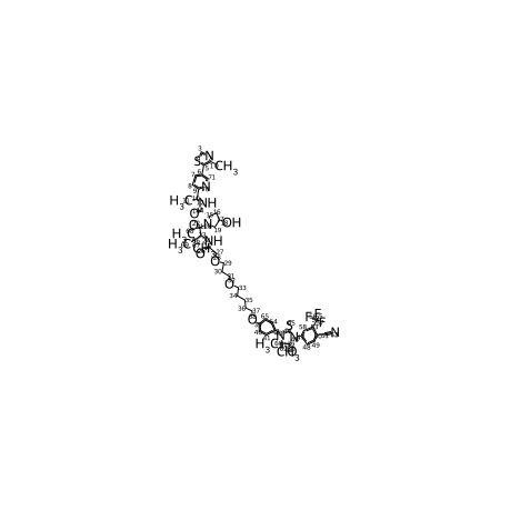 Cc1ncsc1-c1ccc([C@H](C)NC(=O)[C@@H]2C[C@@H](O)CN2C(=O)C(NC(=O)COCCCOCCCCCOc2ccc(N3C(=S)N(c4ccc(C#N)c(C(F)(F)F)c4)C(=O)C3(C)C)cc2)C(C)(C)C)nc1